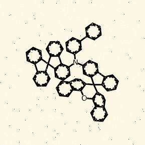 c1ccc(-c2cccc(N(c3ccc4c(c3)C3(c5ccccc5-4)c4ccc5ccccc5c4Oc4c3ccc3ccccc43)c3cccc4c3-c3ccccc3C43c4ccccc4-c4ccccc43)c2)cc1